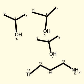 CC(C)O.CC(C)O.CC(C)O.NCC[CH2][Ti]